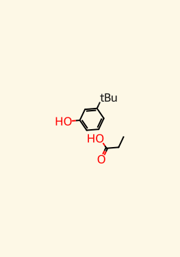 CC(C)(C)c1cccc(O)c1.CCC(=O)O